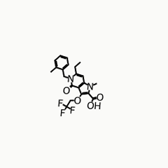 CCc1cc2c(c(OCC(F)(F)F)c(C(=O)O)n2C)c(=O)n1Cc1ccccc1C